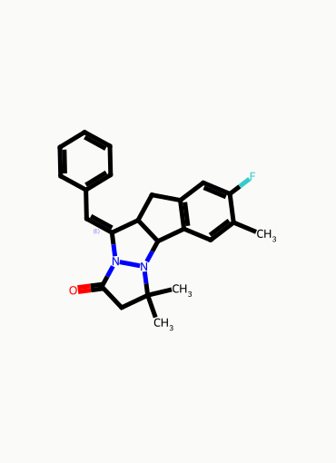 Cc1cc2c(cc1F)CC1/C(=C\c3ccccc3)N3C(=O)CC(C)(C)N3C21